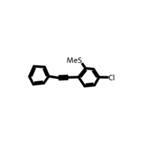 CSc1cc(Cl)ccc1C#Cc1ccccc1